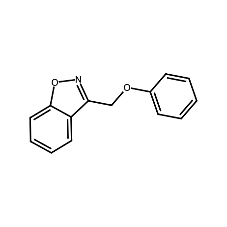 c1ccc(OCc2noc3ccccc23)cc1